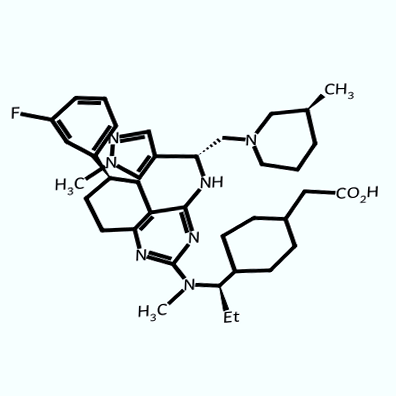 CC[C@H](C1CCC(CC(=O)O)CC1)N(C)c1nc2c(c(N[C@@H](CN3CCC[C@H](C)C3)c3cnn(C)c3)n1)C[C@H](c1cccc(F)c1)CC2